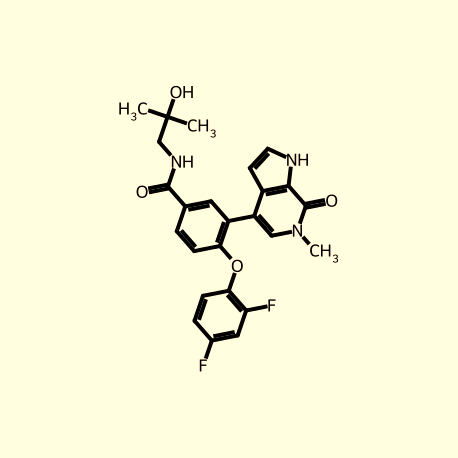 Cn1cc(-c2cc(C(=O)NCC(C)(C)O)ccc2Oc2ccc(F)cc2F)c2cc[nH]c2c1=O